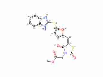 COC(=O)CN1C(=O)SC(=Cc2ccc(Sc3nc4ccccc4[nH]3)o2)C1=O